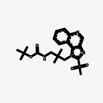 CC(C)(CNC(=O)OC(C)(C)C)Cn1c(S(C)(=O)=O)nc2cnc3ccccc3c21